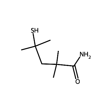 CC(C)(S)CC(C)(C)C(N)=O